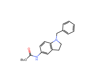 CC(C)COC(=O)Nc1ccc2c(c1)CCN2Cc1ccccc1